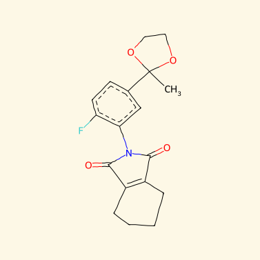 CC1(c2ccc(F)c(N3C(=O)C4=C(CCCC4)C3=O)c2)OCCO1